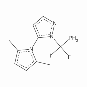 Cc1ccc(C)n1-c1ccnn1C(F)(P)I